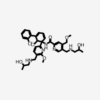 COCc1cc(C(=O)NC2(c3ccc(CNCC(C)O)c(OC)n3)C=CC=C(c3ccccc3Cl)C2Cl)ncc1CNCC(C)O